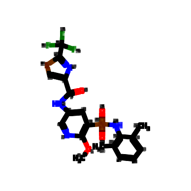 COc1ncc(NC(=O)c2csc(C(F)(F)F)n2)cc1S(=O)(=O)Nc1c(C)cccc1C